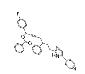 O=C(OC(C#CCC(CCc1ncc(-c2ccncc2)[nH]1)c1ccccc1)c1ccc(F)cc1)c1ccccc1